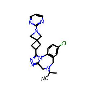 CC(C#N)N1Cc2cc(Cl)ccc2-n2c(nnc2C2CC3(C2)CN(c2ncccn2)C3)C1